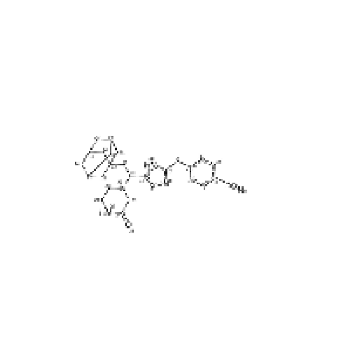 N#Cc1ccc(Cc2ncc(C(CC34CC5CC(CC(C5)C3)C4)N3CCNC(=O)C3)[nH]2)cc1